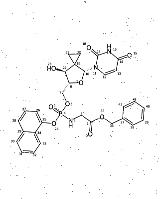 O=C(CNP(=O)(OC[C@H]1O[C@@H](n2ccc(=O)[nH]c2=O)C2(CC2)[C@@H]1O)Oc1cccc2ccccc12)OCc1ccccc1